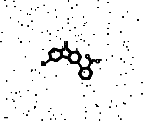 O=[N+]([O-])c1ccccc1-c1ccc2[nH]c3ccc(Br)cc3c2c1